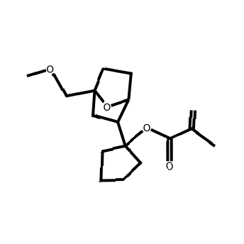 C=C(C)C(=O)OC1(C2CC3(COC)CCC2O3)CCCC1